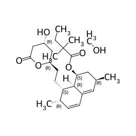 CCC(C)(C)C(=O)O[C@H]1C[C@@H](C)C=C2C=C[C@H](C)[C@H](CC[C@@H]3C[C@@H](O)CC(=O)O3)[C@H]21.CO